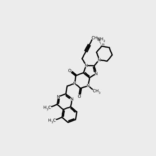 CC#CCn1c(N2CCC[C@@H](N)C2)nc2c1c(=O)n(Cc1nc(C)c3c(C)cccc3n1)c(=O)n2C